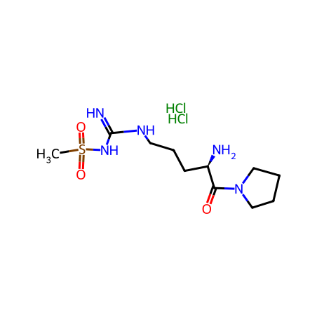 CS(=O)(=O)NC(=N)NCCC[C@@H](N)C(=O)N1CCCC1.Cl.Cl